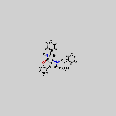 CCN([C@@H](Cc1ccccc1)C(=O)N(C)Cc1ccccc1)N(CCc1ccccc1)CC(=O)O